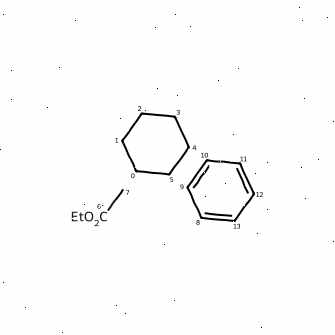 C1CCCCC1.CCOC(C)=O.c1ccccc1